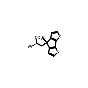 CCC[C@H](CC1(C)c2ccsc2-c2sccc21)C(=O)OCC